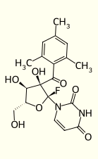 Cc1cc(C)c(C(=O)[C@@]2(O)[C@H](O)[C@@H](CO)O[C@@]2(F)n2ccc(=O)[nH]c2=O)c(C)c1